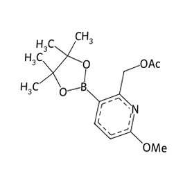 COc1ccc(B2OC(C)(C)C(C)(C)O2)c(COC(C)=O)n1